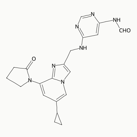 O=CNc1cc(NCc2cn3cc(C4CC4)cc(N4CCCC4=O)c3n2)ncn1